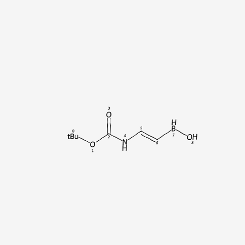 CC(C)(C)OC(=O)N/C=C/BO